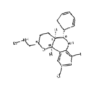 CCNC[C@H]1CC[C@@H]2[C@H](O1)c1cc(Cl)cc(F)c1N[C@H]2C1C=CC=CC1